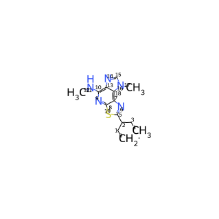 [CH2]CC(CC)c1nc2c(nc(NC)c3ncn(C)c32)s1